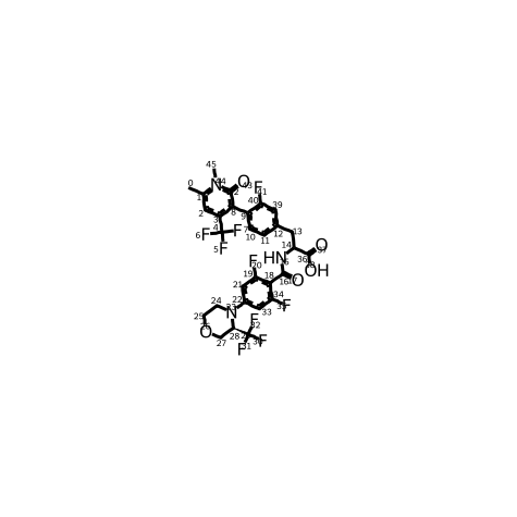 Cc1cc(C(F)(F)F)c(-c2ccc(CC(NC(=O)c3c(F)cc(N4CCOC[C@@H]4C(F)(F)F)cc3F)C(=O)O)cc2F)c(=O)n1C